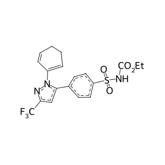 CCOC(=O)NS(=O)(=O)c1ccc(-c2cc(C(F)(F)F)nn2C2=CCCC=C2)cc1